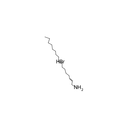 Br.CCCCCCCCCCCCCCC=CCN